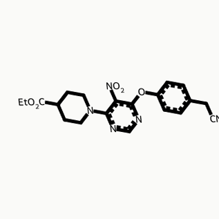 CCOC(=O)C1CCN(c2ncnc(Oc3ccc(CC#N)cc3)c2[N+](=O)[O-])CC1